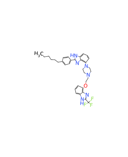 CCCCCCc1ccc(-c2nc3c(N4CCN(CCOc5cccc6[nH]c(C(F)(F)F)nc56)CC4)cccc3[nH]2)cc1